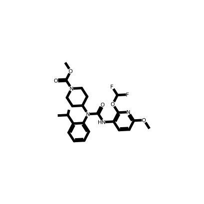 COC(=O)N1CCC(N(C(=O)Nc2ccc(OC)nc2OC(F)F)c2ccccc2C(C)C)CC1